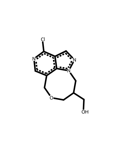 OCC1COCc2cnc(Cl)c3cnn(c23)C1